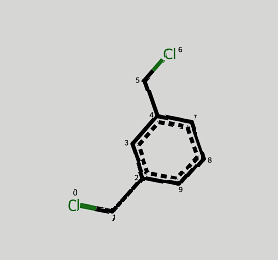 ClCc1[c]c(CCl)ccc1